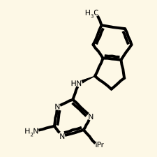 Cc1ccc2c(c1)[C@H](Nc1nc(N)nc(C(C)C)n1)CC2